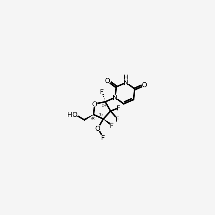 O=c1ccn([C@]2(F)O[C@H](CO)[C@@](F)(OF)C2(F)F)c(=O)[nH]1